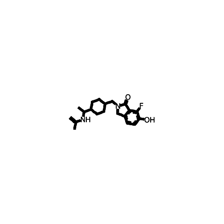 C=C(C)NC(C)C1CCC(CN2Cc3ccc(O)c(F)c3C2=O)CC1